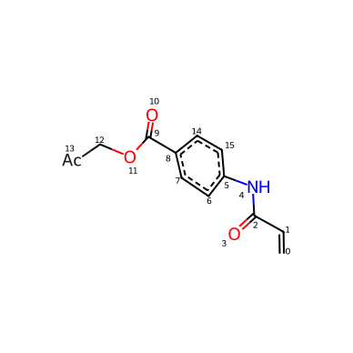 C=CC(=O)Nc1ccc(C(=O)OCC(C)=O)cc1